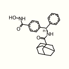 O=C(NO)c1ccc([C@H](NC(=O)C23CC4CC(CC(C4)C2)C3)c2ccccc2)cc1